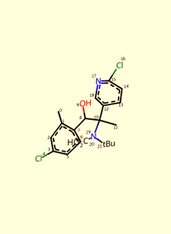 Cc1cc(Cl)ccc1C(O)C(C)(c1ccc(Cl)nc1)N(C(=O)O)C(C)(C)C